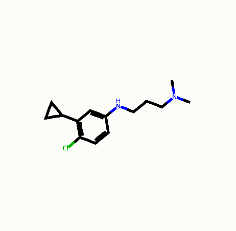 CN(C)CCCNc1ccc(Cl)c(C2CC2)c1